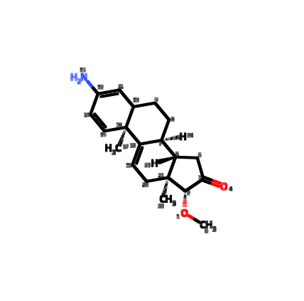 CO[C@H]1C(=O)C[C@H]2[C@@H]3CCC4C=C(N)C=C[C@]4(C)C3=CC[C@]12C